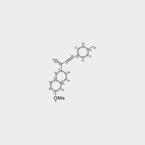 COc1ccc2cc(C(=O)C#Cc3ccc(C)cc3)ccc2c1